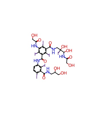 O=C(CO)Nc1c(I)c(C(=O)NCC(O)(I)C(O)NC(=O)CO)c(I)c(C(=O)Nc2ccc(I)c(C(=O)NCC(O)CO)c2I)c1I